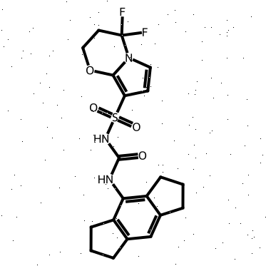 O=C(Nc1c2c(cc3c1CCC3)CCC2)NS(=O)(=O)c1ccn2c1OCCC2(F)F